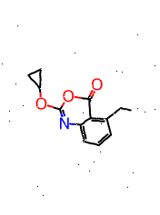 CCc1cccc2nc(OC3CC3)oc(=O)c12